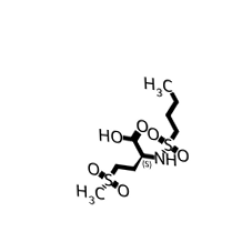 CCCCS(=O)(=O)N[C@@H](CCS(C)(=O)=O)C(=O)O